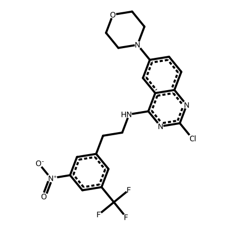 O=[N+]([O-])c1cc(CCNc2nc(Cl)nc3ccc(N4CCOCC4)cc23)cc(C(F)(F)F)c1